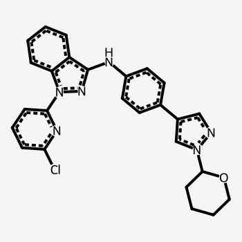 Clc1cccc(-n2nc(Nc3ccc(-c4cnn(C5CCCCO5)c4)cc3)c3ccccc32)n1